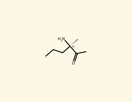 CC(=O)[C@](C)(N)CCI